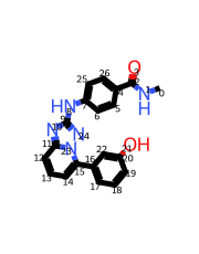 CNC(=O)c1ccc(Nc2nc3cccc(-c4cccc(O)c4)n3n2)cc1